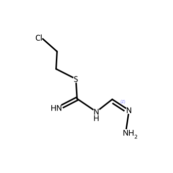 N=C(N/C=N\N)SCCCl